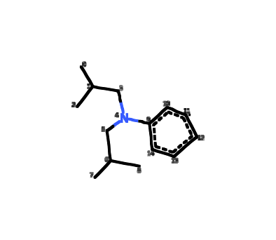 CC(C)CN(CC(C)C)c1c[c]ccc1